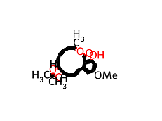 COc1cc(O)c2c(c1)/C=C/C[C@@H]1OC(C)(C)O[C@@H]1C/C=C\C[C@H](C)OC2=O